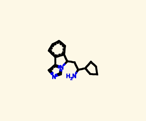 NC(CC1c2ccccc2-c2cncn21)C1CCCC1